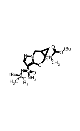 CN(C(=O)OC(C)(C)C)[C@]12COc3c(S(N)(=O)=N[Si](C)(C)C(C)(C)C)cnn3CC1C2